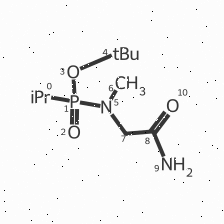 CC(C)P(=O)(OC(C)(C)C)N(C)CC(N)=O